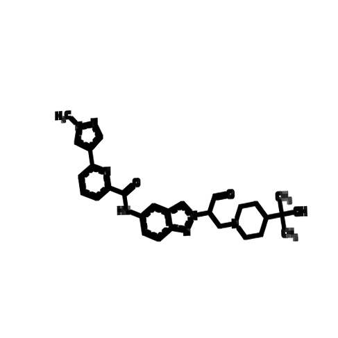 Cn1cc(-c2cccc(C(=O)Nc3ccc4nn(C(C=O)CN5CCC(C(C)(C)O)CC5)cc4c3)n2)cn1